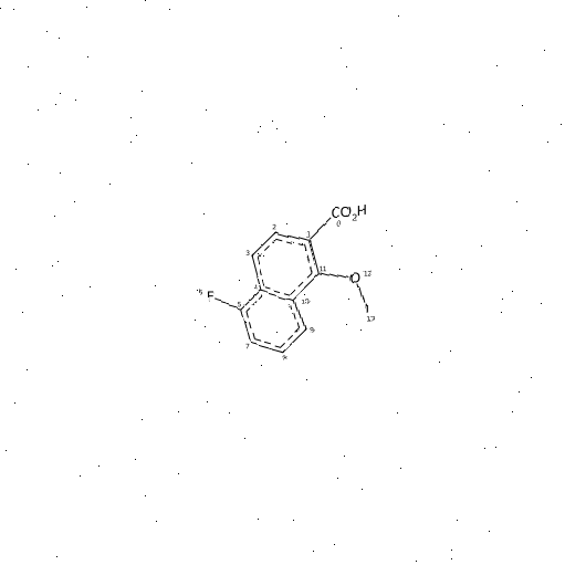 O=C(O)c1ccc2c(F)cccc2c1OI